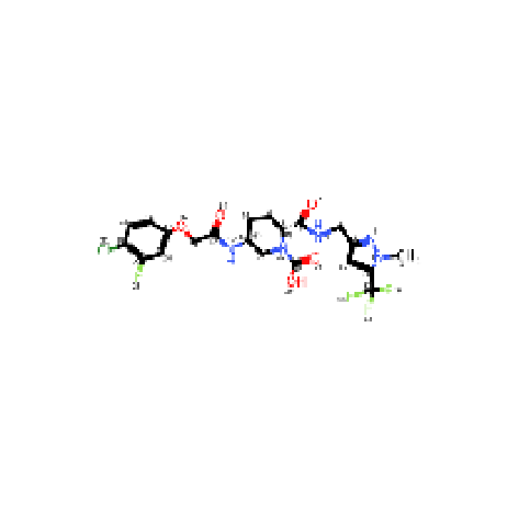 Cn1nc(CNC(=O)[C@H]2CC[C@H](NC(=O)COc3ccc(Cl)c(F)c3)CN2C(=O)O)cc1C(F)(F)F